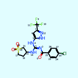 O=C(/N=C(/Nc1cc(C(F)(F)F)n[nH]1)NC1CCS(=O)(=O)C1)c1ccc(Cl)cc1